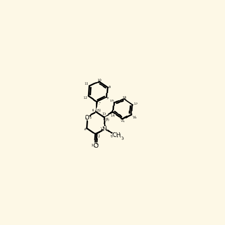 CN1C(=O)CO[C@@H](c2ccccc2)[C@H]1c1ccccc1